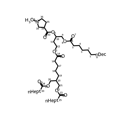 CCCCCCCCCCCCCCCC(=O)OCC(CCOC(=O)CCCCC(COC(=O)CCCCCCC)COC(=O)CCCCCCC)OC(=O)C1CCN(C)C1